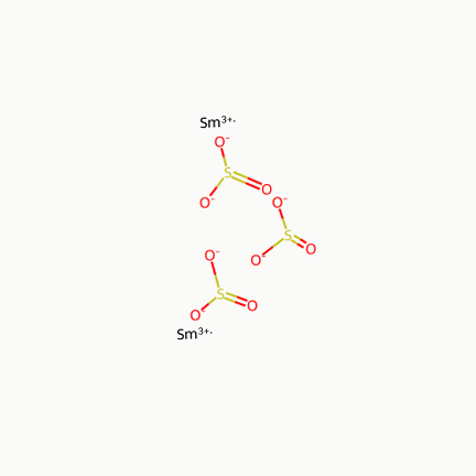 O=S([O-])[O-].O=S([O-])[O-].O=S([O-])[O-].[Sm+3].[Sm+3]